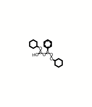 OB(OB(OOC1CCCCC1)c1ccccc1)OC1CCCCC1